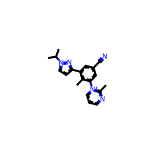 Cc1c(-c2ccn(C(C)C)n2)cc(C#N)cc1-[n+]1cccnc1C